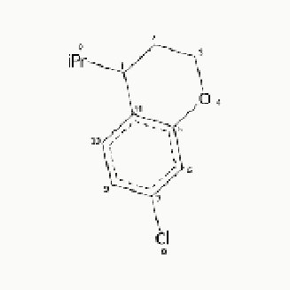 CC(C)C1CCOc2cc(Cl)ccc21